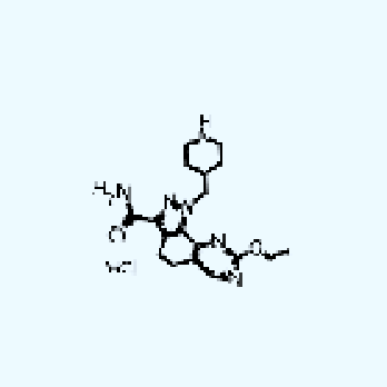 CCOc1ncc2c(n1)-c1c(c(C(N)=O)nn1CC1CCNCC1)CC2.Cl